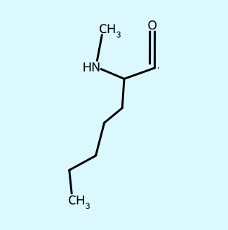 CCCCCC([C]=O)NC